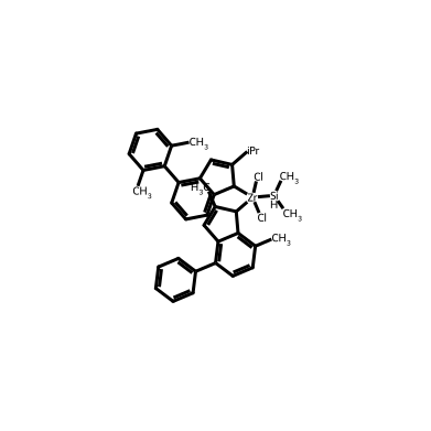 CC1=Cc2c(-c3ccccc3)ccc(C)c2[CH]1[Zr]([Cl])([Cl])([CH]1C(C(C)C)=Cc2c(-c3c(C)cccc3C)cccc21)[SiH](C)C